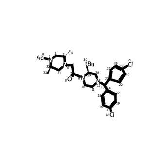 CC(=O)N1C[C@H](C)N(CC(=O)N2CCN(C(c3ccc(Cl)cc3)c3ccc(Cl)cc3)C[C@@H]2C(C)(C)C)C[C@H]1C